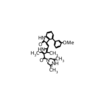 COc1cccc(-c2cccc3c2C(=Cc2[nH]c(C)c(C(=O)N4C[C@H](C)N[C@@H](C)C4)c2C)C(=O)N3)c1